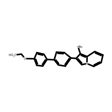 CCCCc1c(-c2ccc(-c3ccc(OCC(=O)O)cc3)cc2)cn2ccccc12